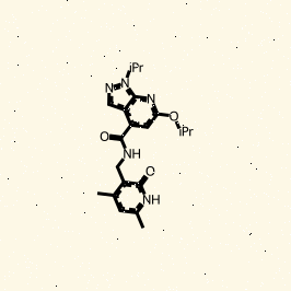 Cc1cc(C)c(CNC(=O)c2cc(OC(C)C)nc3c2cnn3C(C)C)c(=O)[nH]1